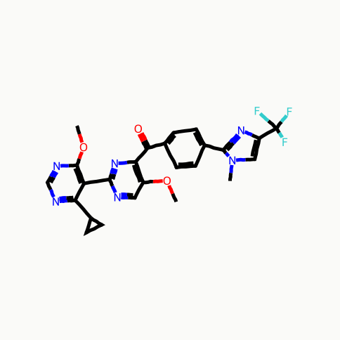 COc1cnc(-c2c(OC)ncnc2C2CC2)nc1C(=O)c1ccc(-c2nc(C(F)(F)F)cn2C)cc1